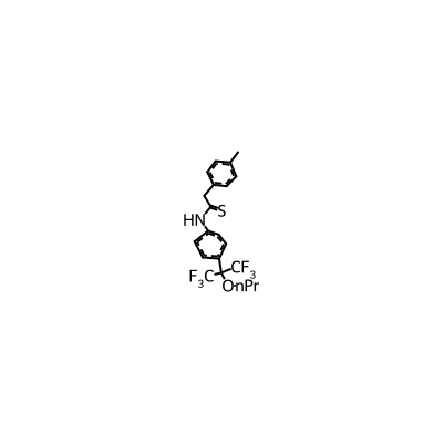 CCCOC(c1ccc(NC(=S)Cc2ccc(C)cc2)cc1)(C(F)(F)F)C(F)(F)F